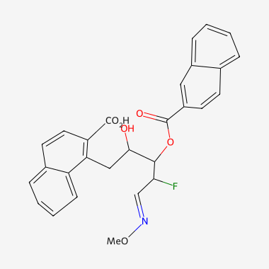 CON=CC(F)C(OC(=O)c1ccc2ccccc2c1)C(O)Cc1c(C(=O)O)ccc2ccccc12